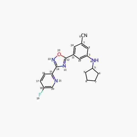 N#Cc1cc(NC2CCCC2)cc(-c2nc(-c3ccc(F)cn3)no2)c1